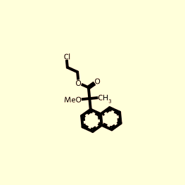 COC(C)(C(=O)OCCCl)c1cccc2ccccc12